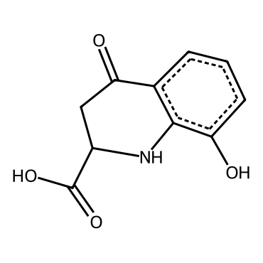 O=C1CC(C(=O)O)Nc2c(O)cccc21